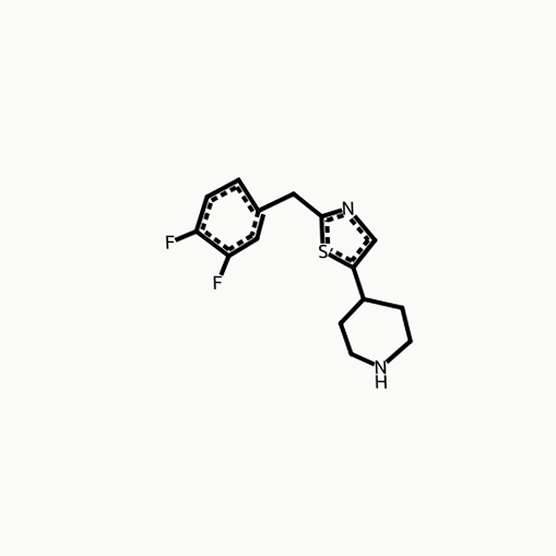 Fc1ccc(Cc2ncc(C3CCNCC3)s2)cc1F